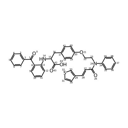 O=C(c1ccccc1)c1ccccc1NC(Cc1ccc(OCCN(C(=O)C=Cc2ccsc2)c2ccccc2)cc1)C(=O)O